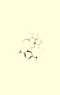 NCC1OC2(CN)[C@H](OC[C@@H]2O)[C@@H]1O.O=C(O)c1ccc(C(=O)O)cc1